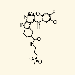 COc1cc(F)c(Cl)cc1Nc1ncnc2[nH]c3c(c12)C[C@@H](C(=O)NCCCS(C)(=O)=O)CC3